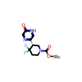 CC(C)(C)OC(=O)N1CCC(F)(F)[C@H](c2c[nH]c(=O)cn2)C1